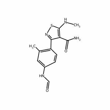 CNc1snc(-c2ccc(NC=O)cc2C)c1C(N)=O